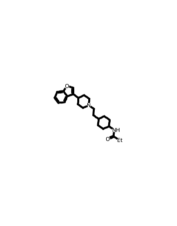 CCC(=O)NC1CCC(CCN2CCC(c3coc4ccccc34)CC2)CC1